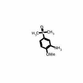 COc1ccc(P(C)(C)=O)cc1N